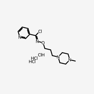 CN1CCN(CCCO/N=C(\Cl)c2cccnc2)CC1.Cl.Cl.Cl